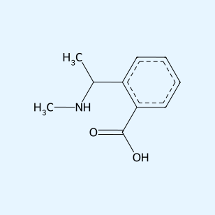 CNC(C)c1ccccc1C(=O)O